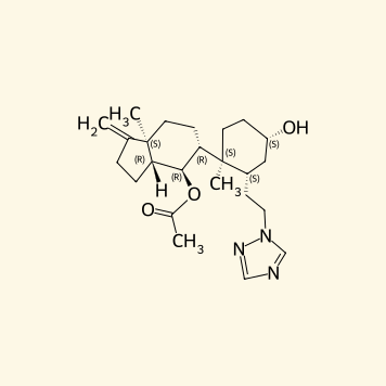 C=C1CC[C@H]2[C@H](OC(C)=O)[C@@H]([C@@]3(C)CC[C@H](O)C[C@@H]3CCn3cncn3)CC[C@]12C